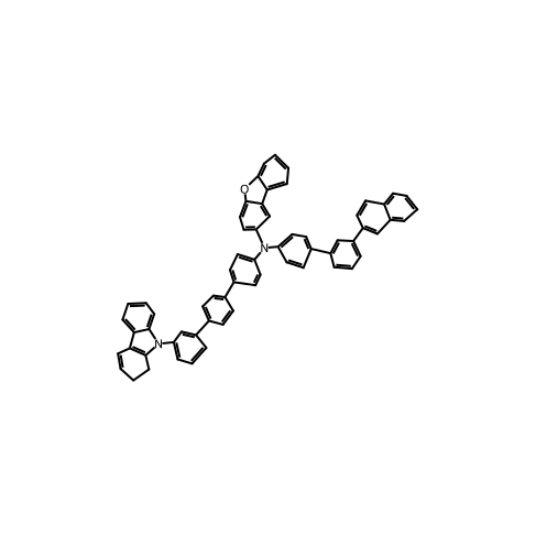 C1=Cc2c(n(-c3cccc(-c4ccc(-c5ccc(N(c6ccc(-c7cccc(-c8ccc9ccccc9c8)c7)cc6)c6ccc7oc8ccccc8c7c6)cc5)cc4)c3)c3ccccc23)CC1